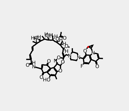 COc1c(N2CCN(CCO/N=C3/c4c5c(C)c(O)c6c4C(=O)C=C(NC(=O)/C(C)=C\C=C\[C@H](C)[C@H](O)[C@@H](C)[C@@H](O)[C@@H](C)[C@H](OC(C)=O)[C@H](C)[C@@H](OC)/C=C/O[C@@]3(C)O5)C6=O)C(C)C2)c(F)cc2c(=O)c(C)cn(C3CC3)c12